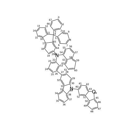 c1ccc(C2(c3ccccc3)c3ccccc3-c3ccc(N(c4cccc(-c5ccc6c(c5)c5ccccc5n6-c5ccc6oc7ccccc7c6c5)c4)c4cccc5ccccc45)cc32)cc1